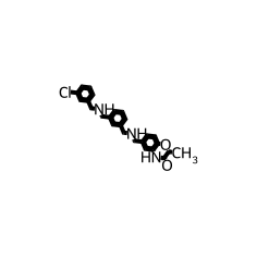 CC1Oc2ccc(CNCc3cccc(CNCc4cccc(Cl)c4)c3)cc2NC1=O